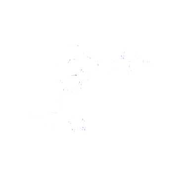 COC(=O)Nc1ccc(-c2c[nH]c([C@@H]3[C@H](c4ccccc4)CCCN3C(=O)/C=C/c3cc(Cl)ccc3-n3cnnn3)n2)c(Br)c1